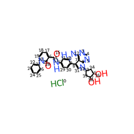 Cl.Nc1ncnc2c1c(-c1ccc(NC(=O)c3cccn(-c4ccccc4)c3=O)cc1)cn2C1C[C@@H](O)[C@@H](O)C1